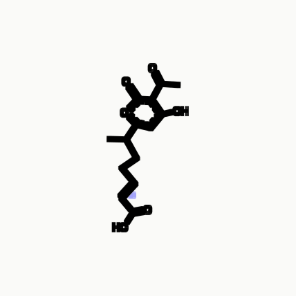 CC(=O)c1c(O)cc(C(C)CC/C=C/C(=O)O)oc1=O